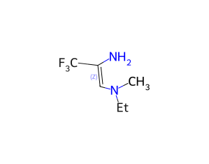 CCN(C)/C=C(\N)C(F)(F)F